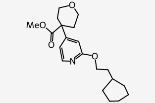 COC(=O)C1(c2ccnc(OCCC3CCCCC3)c2)CCOCC1